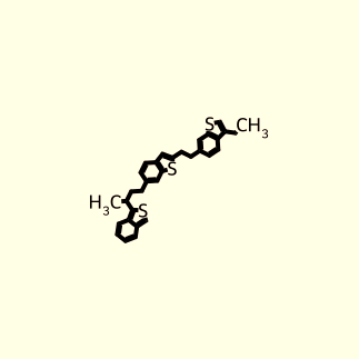 CCc1csc2cc(CCc3cc4ccc(CCC(C)c5scc6ccccc56)cc4s3)ccc12